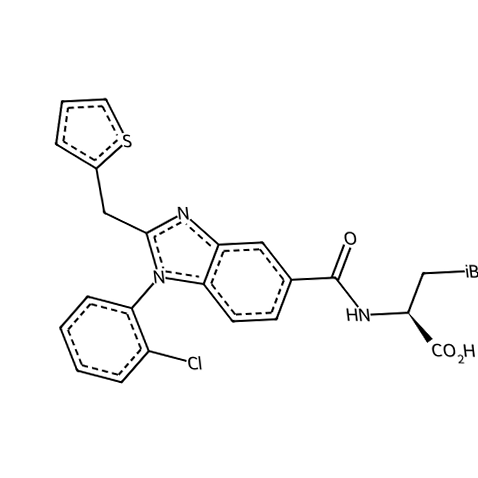 CCC(C)C[C@H](NC(=O)c1ccc2c(c1)nc(Cc1cccs1)n2-c1ccccc1Cl)C(=O)O